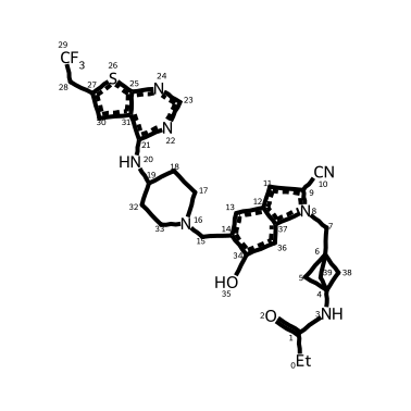 CCC(=O)NC12CC(Cn3c(C#N)cc4cc(CN5CCC(Nc6ncnc7sc(CC(F)(F)F)cc67)CC5)c(O)cc43)(C1)C2